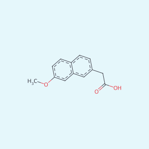 COc1ccc2ccc(CC(=O)O)cc2c1